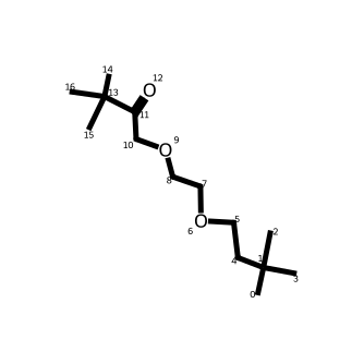 CC(C)(C)CCOCCOCC(=O)C(C)(C)C